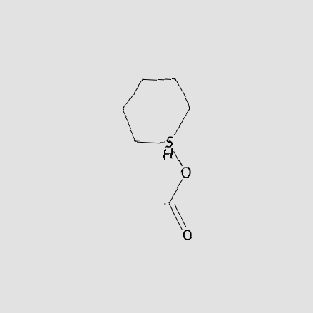 O=[C]O[SH]1CCCCC1